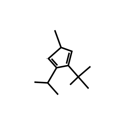 CC1[C]=C(C(C)C)C(C(C)(C)C)=C1